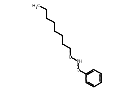 CCCCCCCCOPOc1ccccc1